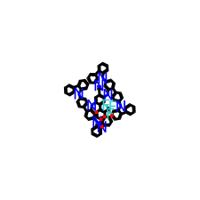 N#Cc1ccc(-c2cc(-n3c4cc(-n5c6ccccc6c6ccccc65)ccc4c4ccc(-n5c6ccccc6c6ccccc65)cc43)c(C#N)cc2-n2c3cc(-n4c5ccccc5c5ccccc54)ccc3c3ccc(-n4c5ccccc5c5ccccc54)cc32)c(C(F)(F)F)c1